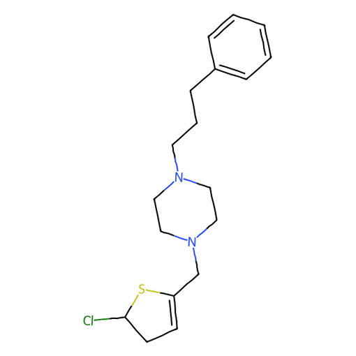 ClC1CC=C(CN2CCN(CCCc3ccccc3)CC2)S1